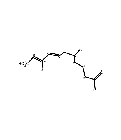 C=C(C)CCCC(C)C/C=C/C(C)=C/C(=O)O